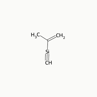 C#[Si]C(=C)C